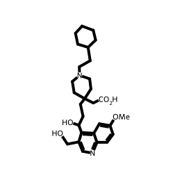 COc1ccc2ncc(CO)c(C(O)CCC3(CC(=O)O)CCN(CCC4CCCCC4)CC3)c2c1